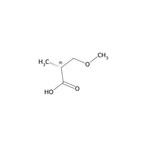 COC[C@@H](C)C(=O)O